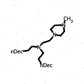 CCCCCCCCCCCCN(CCCCCCCCCCCC)CCN1CCN(C)CC1